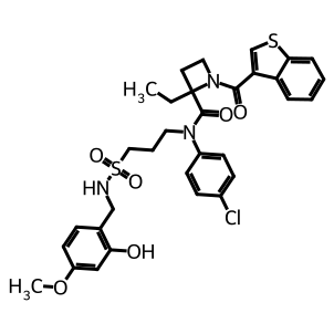 CCC1(C(=O)N(CCCS(=O)(=O)NCc2ccc(OC)cc2O)c2ccc(Cl)cc2)CCN1C(=O)c1csc2ccccc12